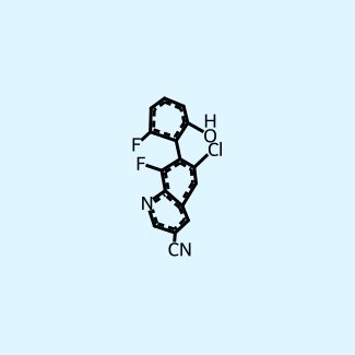 N#Cc1cnc2c(F)c(-c3c(O)cccc3F)c(Cl)cc2c1